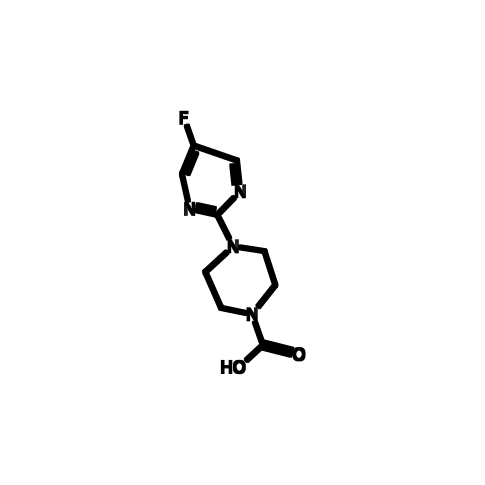 O=C(O)N1CCN(c2ncc(F)cn2)CC1